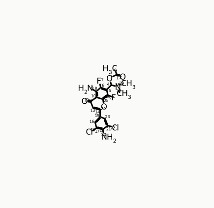 CC(=O)OC(c1c(F)c(N)c2c(=O)cc(-c3cc(Cl)c(N)c(Cl)c3)oc2c1F)N(C)C